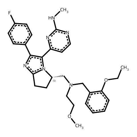 CCOc1ccccc1CN(CCOC)C[C@@H]1CCc2nc(-c3ccc(F)cc3)c(-c3ccnc(NC)n3)n21